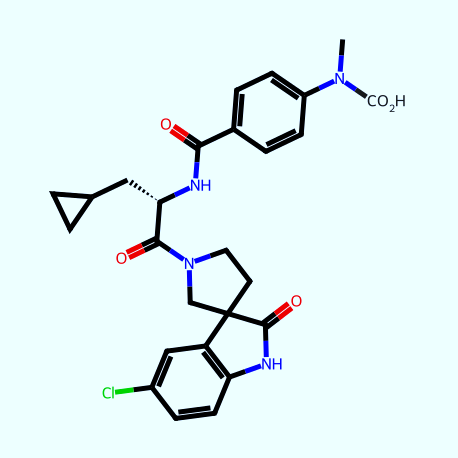 CN(C(=O)O)c1ccc(C(=O)N[C@@H](CC2CC2)C(=O)N2CCC3(C2)C(=O)Nc2ccc(Cl)cc23)cc1